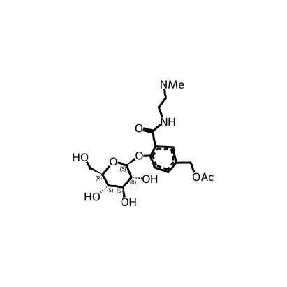 CNCCNC(=O)c1cc(COC(C)=O)ccc1O[C@@H]1O[C@H](CO)[C@@H](O)[C@H](O)[C@H]1O